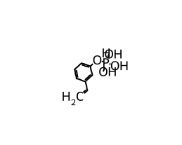 C=Cc1cccc(O[PH](O)(O)O)c1